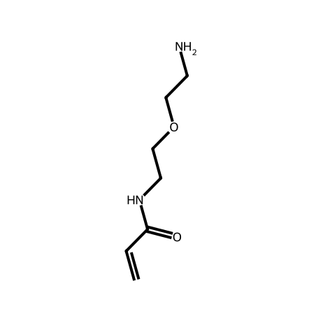 C=CC(=O)NCCOCCN